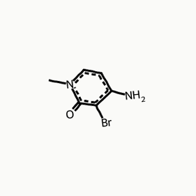 Cn1ccc(N)c(Br)c1=O